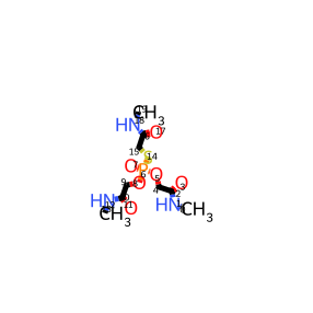 CNC(=O)COP(=O)(OCC(=O)NC)SCC(=O)NC